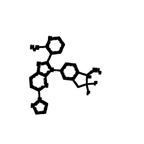 Nc1ncccc1-c1nc2ccc(-n3cccn3)nc2n1-c1ccc2c(c1)CC(F)(F)[C@@H]2N